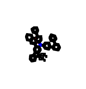 CC1(C)c2ccccc2-c2cc(-c3ccc4c(c3)CCCC4)c(N(c3ccc(-c4ccccc4)cc3)c3ccc(-c4ccccc4-c4ccccc4)cc3)cc21